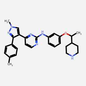 Cc1ccc(-c2nn(C)cc2-c2ccnc(Nc3cccc(OC(C)C4CCNCC4)c3)n2)cc1